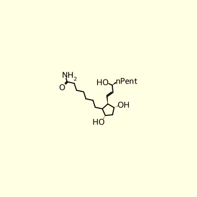 CCCCC[C@H](O)/C=C/[C@@H]1C(CCCCCCC(N)=O)[C@@H](O)C[C@H]1O